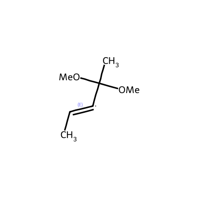 C/C=[C]/C(C)(OC)OC